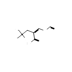 O=COC=C(CC(Cl)(Cl)Cl)C(=O)O